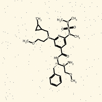 COCCN(CC1CC1C)c1cc(C(=O)N[C@@H](Cc2ccccc2)[C@@H](N)COC)cc(N(C)S(=O)(=O)N(C)C)n1